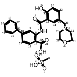 CS(=O)(=O)O.O=C(Nc1cc(-c2ccccc2)ccc1C(=O)O)c1cc(CN2CCOCC2)ccc1O